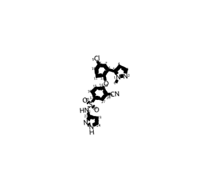 Cn1nccc1-c1cc(Cl)ccc1Oc1ccc(S(=O)(=O)Nc2cc[nH]n2)cc1C#N